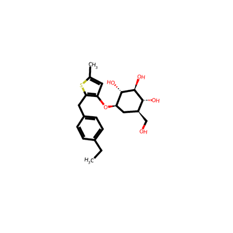 CCc1ccc(Cc2sc(C)cc2O[C@@H]2C[C@H](CO)[C@@H](O)[C@H](O)[C@H]2O)cc1